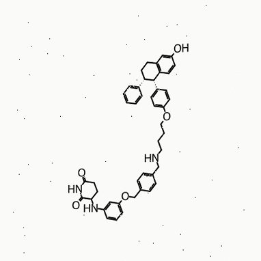 O=C1CCC(Nc2cccc(OCc3ccc(CNCCCCOc4ccc([C@H]5c6ccc(O)cc6CC[C@H]5c5ccccc5)cc4)cc3)c2)C(=O)N1